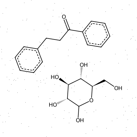 O=C(CCc1ccccc1)c1ccccc1.OC[C@H]1OC(O)[C@H](O)[C@@H](O)[C@@H]1O